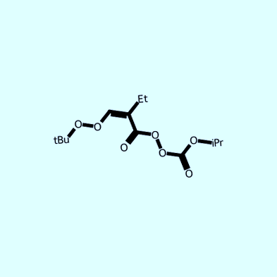 CCC(=COOC(C)(C)C)C(=O)OOC(=O)OC(C)C